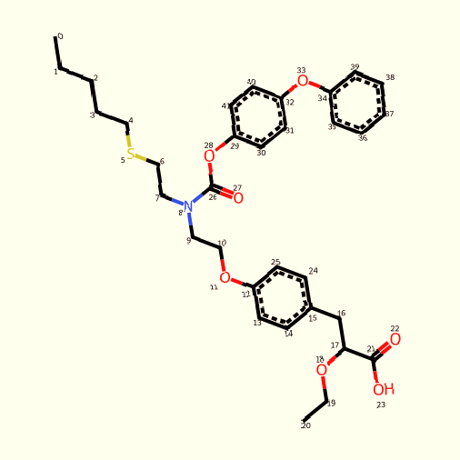 CCCCCSCCN(CCOc1ccc(CC(OCC)C(=O)O)cc1)C(=O)Oc1ccc(Oc2ccccc2)cc1